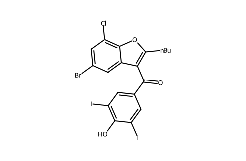 CCCCc1oc2c(Cl)cc(Br)cc2c1C(=O)c1cc(I)c(O)c(I)c1